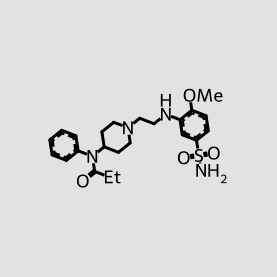 CCC(=O)N(c1ccccc1)C1CCN(CCNc2cc(S(N)(=O)=O)ccc2OC)CC1